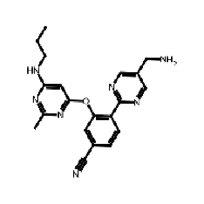 CCCNc1cc(Oc2cc(C#N)ccc2-c2ncc(CN)cn2)nc(C)n1